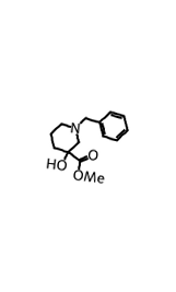 COC(=O)C1(O)CCCN(Cc2ccccc2)C1